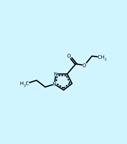 CCCn1ccc(C(=O)OCC)n1